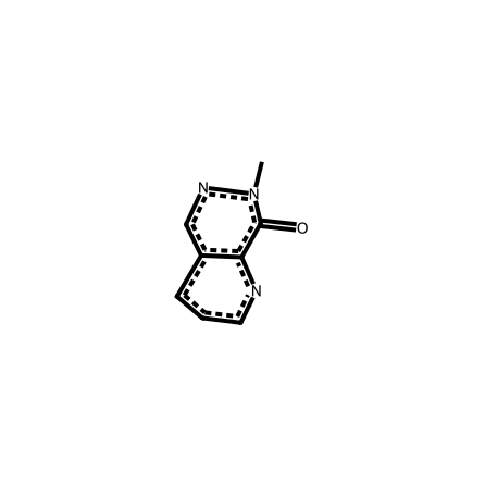 Cn1ncc2cccnc2c1=O